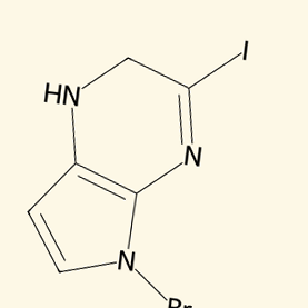 Brn1ccc2c1N=C(I)CN2